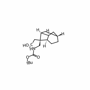 CC(C)(C)OC(=O)NC[C@]1(CC(=O)O)[C@@H]2CC[C@H]3C[C@@H]2[C@@H]1C3